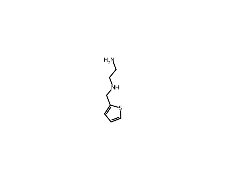 NCCNCc1cccs1